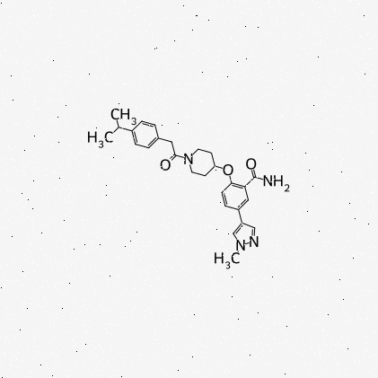 CC(C)c1ccc(CC(=O)N2CCC(Oc3ccc(-c4cnn(C)c4)cc3C(N)=O)CC2)cc1